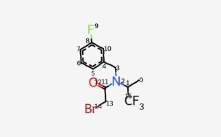 CC(N(Cc1cccc(F)c1)C(=O)CBr)C(F)(F)F